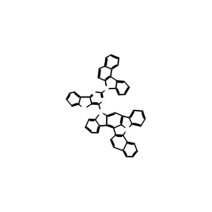 c1ccc2c(c1)ccc1c2c2ccccc2n1-c1nc(-n2c3ccccc3c3c4c5ccc6ccccc6c5n5c6ccccc6c(cc32)c45)c2oc3ccccc3c2n1